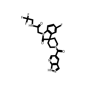 O=C(CN1C(=O)C2(CCN(C(=O)c3cnc4[nH]ncc4c3)CC2)c2cc(F)ccc21)NCC(F)(F)F